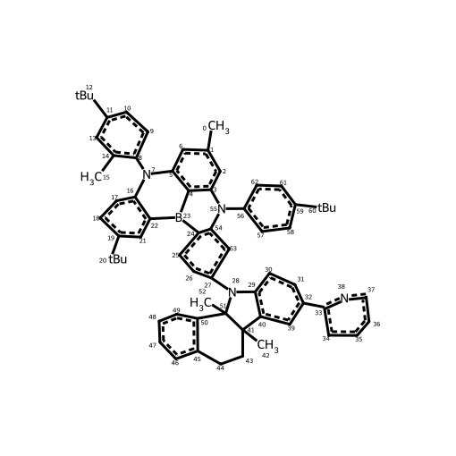 Cc1cc2c3c(c1)N(c1ccc(C(C)(C)C)cc1C)c1ccc(C(C)(C)C)cc1B3c1ccc(N3c4ccc(-c5ccccn5)cc4C4(C)CCc5ccccc5C34C)cc1N2c1ccc(C(C)(C)C)cc1